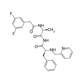 C[C@H](NC(=O)Cc1cc(F)cc(F)c1)C(=O)NC(=O)[C@H](Cc1ccccc1)NCc1ccccn1